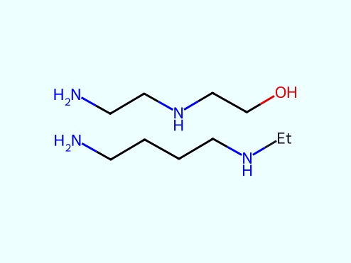 CCNCCCCN.NCCNCCO